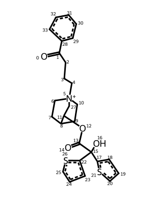 O=C(CCC[N+]12CCC(CC1)C(OC(=O)C(O)(c1cccs1)c1cccs1)C2)c1ccccc1